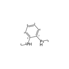 CPc1ccccc1PC